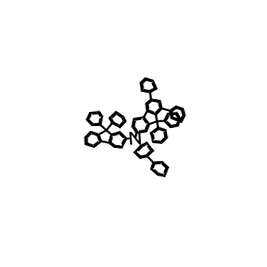 c1ccc(-c2ccc(N(c3ccc4c(c3)C(c3ccccc3)(c3ccccc3)c3ccccc3-4)c3ccc4c(c3)C(c3ccccc3)(c3ccccc3)c3c(-c5ccccc5)cc(-c5ccccc5)cc3-4)cc2)cc1